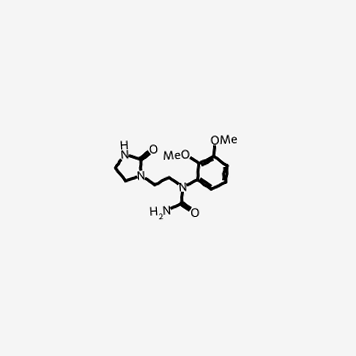 COc1cccc(N(CCN2CCNC2=O)C(N)=O)c1OC